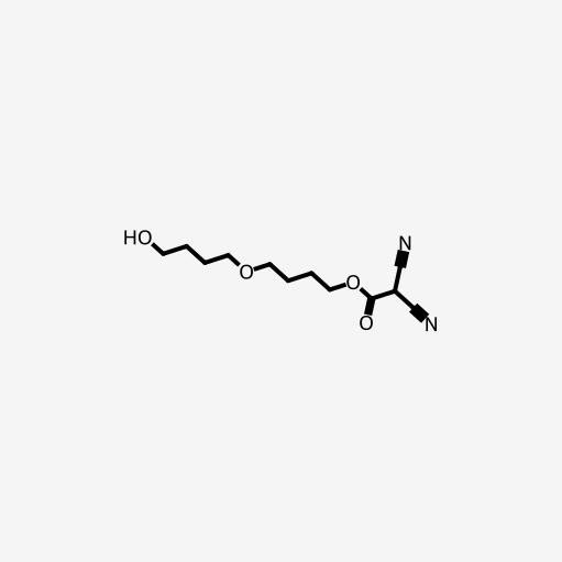 N#CC(C#N)C(=O)OCCCCOCCCCO